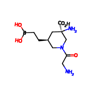 NCC(=O)N1C[C@@H](CCB(O)O)C[C@](N)(C(=O)O)C1